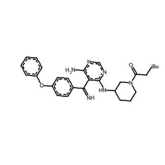 CCC(C)CC(=O)N1CCCC(Nc2ncnc(N)c2C(=N)c2ccc(Oc3ccccc3)cc2)C1